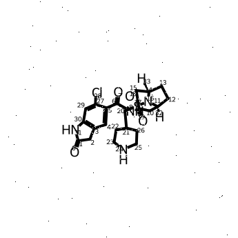 O=C1Cc2cc(C(=O)N[C@H]3C[C@H]4CC[C@@H](C3)N4S(=O)(=O)CC3CCNCC3)c(Cl)cc2N1